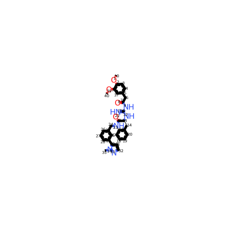 COc1ccc(CC(=O)NC(=N)N[C@H](Cc2ccccc2)C(=O)NCc2cccc(-c3ccnn3C)c2)cc1OC